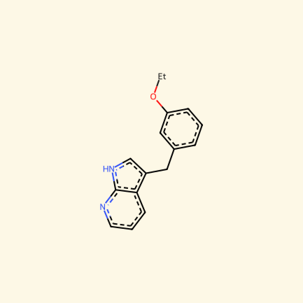 CCOc1cccc(Cc2c[nH]c3ncccc23)c1